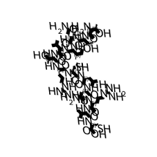 CC[C@H](C)[C@H](NC(=O)[C@H](CC(N)=O)NC(=O)[C@@H](NC(=O)[C@@H](N)[C@@H](C)O)[C@@H](C)O)C(=O)N[C@H](C(=O)N[C@H](C(=O)N[C@@H](CCCNC(=N)N)C(=O)N[C@@H](CS)C(=O)N[C@@H](CC(C)C)C(=O)N[C@@H](CC(N)=O)C(=O)N[C@@H](CCCNC(=N)N)C(=O)N[C@H](C(=O)N[C@@H](CS)C(=O)O)C(C)C)[C@@H](C)O)C(C)C